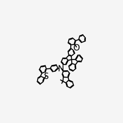 CC1(C)c2ccccc2-c2ccc(N(c3ccc(-c4cccc5c4sc4ccccc45)cc3)c3ccc4c(c3)C3(c5ccccc5-c5ccccc53)c3cc5oc6c(-c7ccccc7)cccc6c5cc3-4)cc21